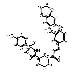 Cc1ccc(S(=O)(=O)NC(=O)C2CCCN(C(=O)C=Cc3ccc(Sc4ccc5c(c4)OCCO5)c(C(F)(F)F)c3)C2)cc1